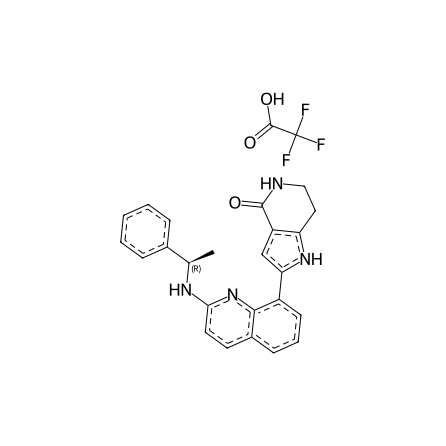 C[C@@H](Nc1ccc2cccc(-c3cc4c([nH]3)CCNC4=O)c2n1)c1ccccc1.O=C(O)C(F)(F)F